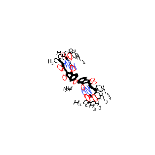 CC(C)[C@@H](NC(=O)OC(C)(C)C)C(=O)C1C(=O)c2ccc(Oc3ccc4c(c3)C(=O)C(C(=O)[C@H](NC(=O)OC(C)(C)C)C(C)C)C4=O)cc2C1=O.[Na].[Na]